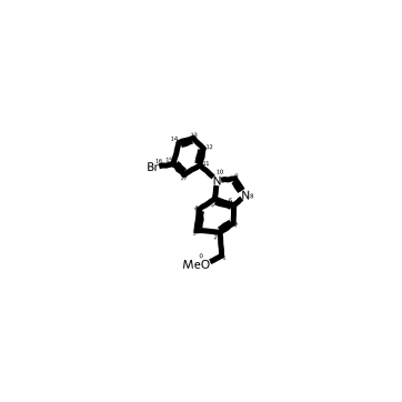 COCc1ccc2c(c1)ncn2-c1cccc(Br)c1